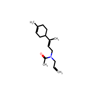 C=CCN(C/C=C(\C)C1CC=C(C)CC1)C(C)=O